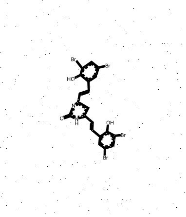 O=c1nc(/C=C/c2cc(Br)cc(Br)c2O)cc(/C=C/c2cc(Br)cc(Br)c2O)[nH]1